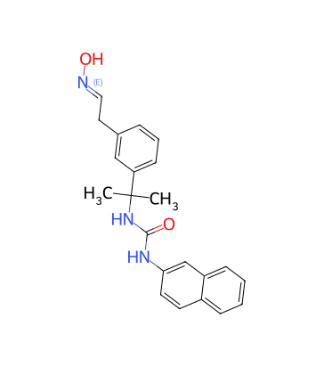 CC(C)(NC(=O)Nc1ccc2ccccc2c1)c1cccc(C/C=N/O)c1